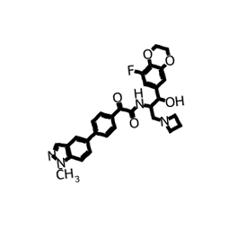 Cn1ncc2cc(-c3ccc(C(=O)C(=O)NC(CN4CCC4)C(O)c4cc(F)c5c(c4)OCCO5)cc3)ccc21